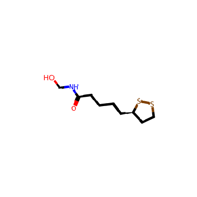 O=C(CCCC[C@@H]1CCSS1)NCO